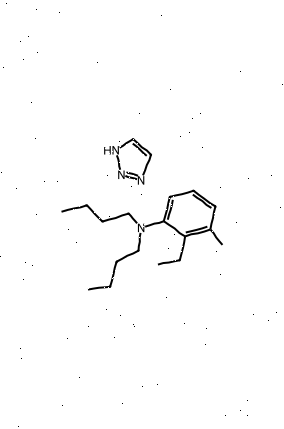 CCCCN(CCCC)c1cccc(C)c1CC.c1c[nH]nn1